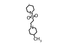 CC1CCN(CCS(=O)(=O)N2CC[CH]CC2)CC1